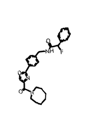 O=C(NCc1ccc(-c2nc(C(=O)N3CCCCCCC3)co2)cc1)C(F)c1ccccc1